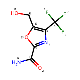 NC(=O)c1nc(C(F)(F)F)c(CO)o1